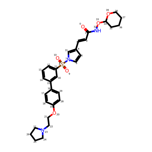 O=C(/C=C/c1ccn(S(=O)(=O)c2cccc(-c3ccc(OCCN4CCCC4)cc3)c2)c1)NOC1CCCCO1